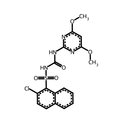 COc1cc(OC)nc(NC(=O)NS(=O)(=O)c2c(Cl)ccc3ccccc23)n1